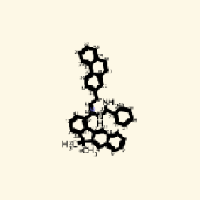 CC1(C)c2cc3ccccc3cc2-c2c(/C(=C/Cc3ccc4c(ccc5ccccc54)c3)NC(N)c3ccccc3)cccc21